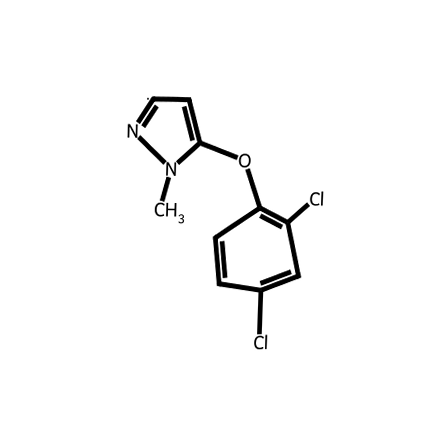 Cn1n[c]cc1Oc1ccc(Cl)cc1Cl